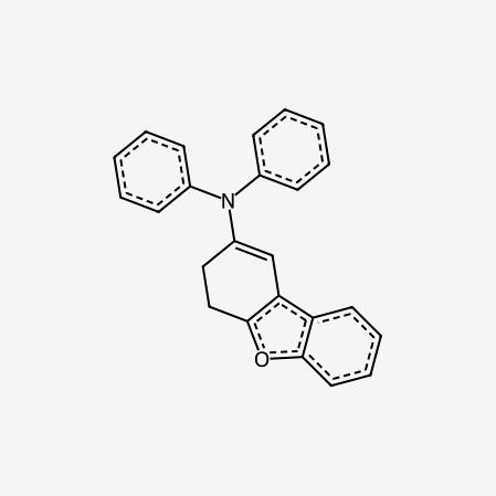 C1=C(N(c2ccccc2)c2ccccc2)CCc2oc3ccccc3c21